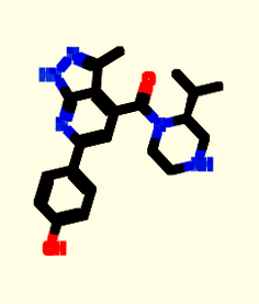 Cc1n[nH]c2nc(-c3ccc(O)cc3)cc(C(=O)N3CCNC[C@@H]3C(C)C)c12